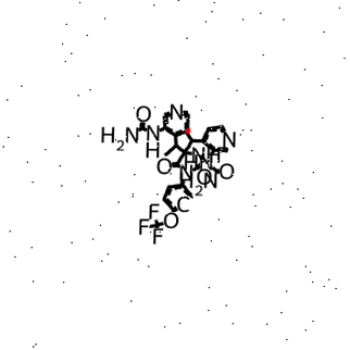 CC(c1ccncc1NC(N)=O)C1(C(C)c2ccncc2NC(N)=O)NC(=O)N(c2ccc(OC(F)(F)F)cc2)C1=O